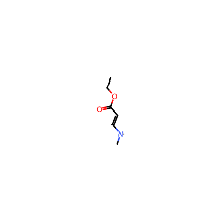 CCOC(=O)/C=C/[N]C